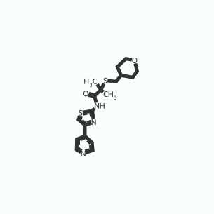 CC(C)(SCC1CCOCC1)C(=O)Nc1nc(-c2ccncc2)cs1